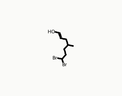 CC(C/C=C/O)CCC(Br)Br